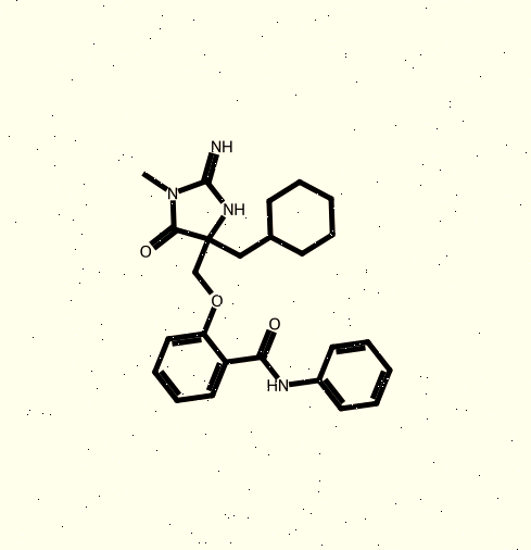 CN1C(=N)NC(COc2ccccc2C(=O)Nc2ccccc2)(CC2CCCCC2)C1=O